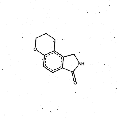 O=C1NCc2c1ccc1c2CCCO1